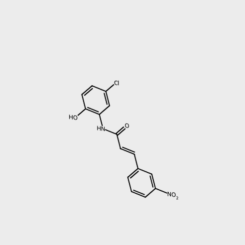 O=C(/C=C/c1cccc([N+](=O)[O-])c1)Nc1cc(Cl)ccc1O